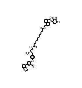 COc1nc(-c2cccc3c2OCCO3)ccc1Nc1ccc(CN(C)CCNC(=O)CCCCCCCCCCC(=O)NCc2ccc3c4c(cccc24)C(=O)N3C2CCC(=O)NC2=O)cc1